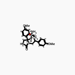 COc1ccc(C(C)CN2C(=O)NCC2(NS(N)(=O)=O)c2ccc(OC)cc2)cc1